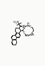 CC(C)(N)C(=O)C1CCc2c(ccc3c4c(ccc23)C=CCC4)C1C1CCNNCCCCNCN1